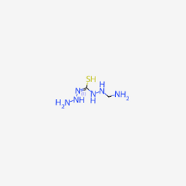 NCNN/C(S)=N\NN